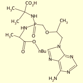 CCCCOC(=O)C(C)NP(=O)(COC(C)Cn1cnc2c(N)ncnc21)NC(C)(C)C(=O)O